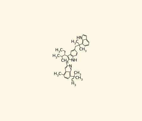 CC[C@@H](c1c(Cc2cc3c(C)ccc(C(C)(C)C)c3cn2)[nH]c2ccc(CC(C)(C)c3cccc4cc[nH]c34)cc12)C(C)C